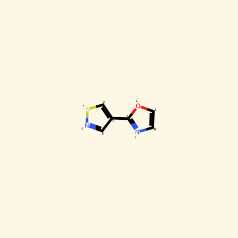 [c]1coc(-c2cnsc2)n1